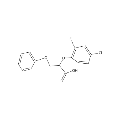 O=C(O)C(COc1ccccc1)Oc1ccc(Cl)cc1F